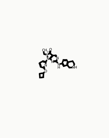 CCn1c(=O)c2cnc(Nc3ccc4c(c3)CNCC4)nc2n1-c1cccc(OC2CCC2)n1